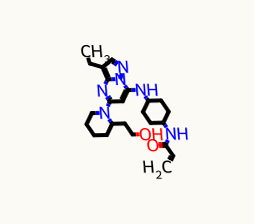 C=CC(=O)NC1CCC(Nc2cc(N3CCCCC3CCO)nc3c(CC)cnn23)CC1